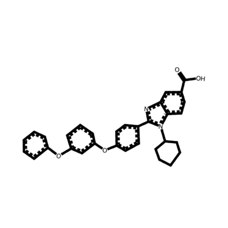 O=C(O)c1ccc2c(c1)nc(-c1ccc(Oc3cccc(Oc4ccccc4)c3)cc1)n2C1CCCCC1